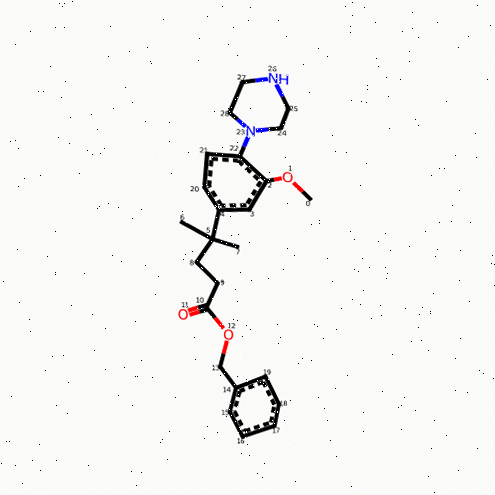 COc1cc(C(C)(C)CCC(=O)OCc2ccccc2)ccc1N1CCNCC1